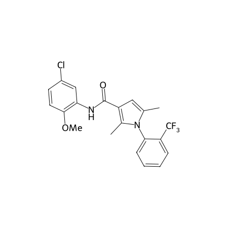 COc1ccc(Cl)cc1NC(=O)c1cc(C)n(-c2ccccc2C(F)(F)F)c1C